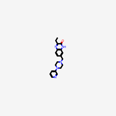 CCc1nc2ccc(CN3CCN(c4cccnc4)CC3)cc2[nH]c1=O